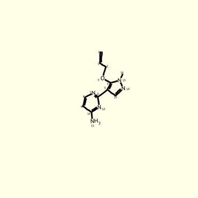 C=CCOc1c(-c2nccc(N)n2)cnn1C